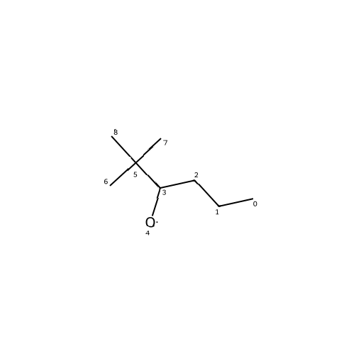 CCCC([O])C(C)(C)C